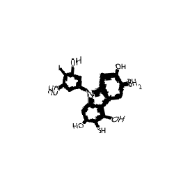 Bc1cc2c3c(O)c(S)c(O)cc3n(-c3cc(O)c(I)c(O)c3)c2cc1O